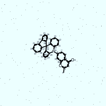 Cc1cc(=O)c2ccc(N3c4ccccc4C4(c5ccccc5-c5ccccc54)c4ccccc43)cc2o1